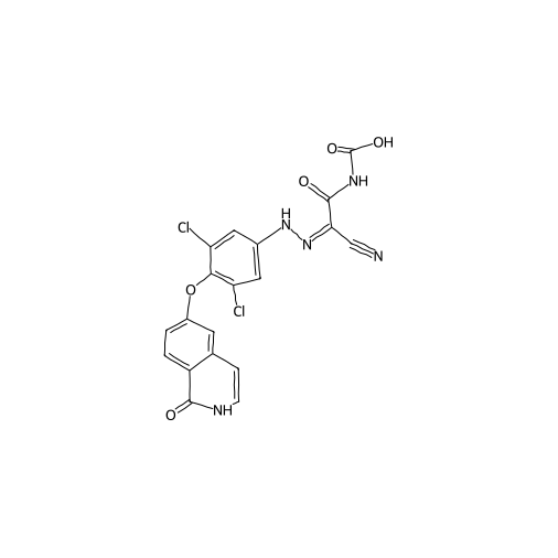 N#CC(=NNc1cc(Cl)c(Oc2ccc3c(=O)[nH]ccc3c2)c(Cl)c1)C(=O)NC(=O)O